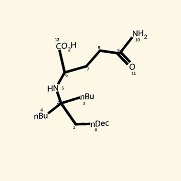 CCCCCCCCCCCC(CCCC)(CCCC)NC(CCC(N)=O)C(=O)O